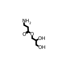 NCCC(=O)OCC(O)CO